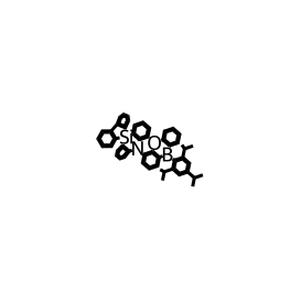 CC(C)c1cc(C(C)C)c(B2c3ccccc3Oc3c2cccc3N2c3ccccc3[Si]3(c4ccccc4-c4ccccc43)c3ccccc32)c(C(C)C)c1